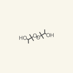 CC(O)C(C)(C)OOC(C)(C)C(C)O